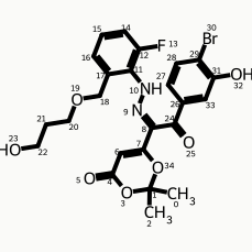 CC1(C)OC(=O)C=C(C(=NNc2c(F)cccc2COCCCO)C(=O)c2ccc(Br)c(O)c2)O1